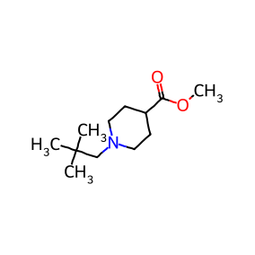 COC(=O)C1CCN(CC(C)(C)C)CC1